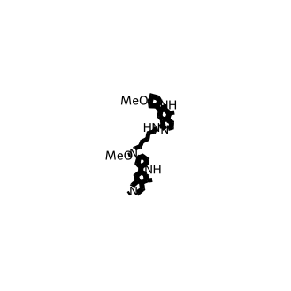 COc1ccc2[nH]c3c(C)c4ccnc(NCCCCCCN(OC)c5ccc6[nH]c7c(C)c8cc[n+](C)cc8cc7c6c5)c4cc3c2c1